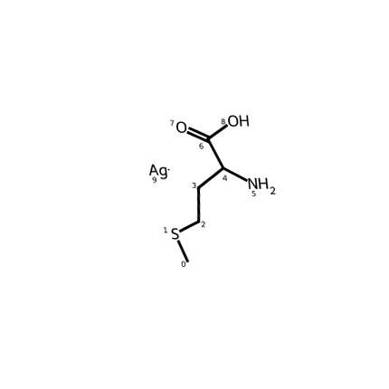 CSCCC(N)C(=O)O.[Ag]